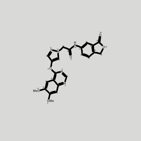 COc1cc2ncnc(Oc3cnn(CC(=O)Nc4ccc5c(c4)C(=O)OC5)c3)c2cc1OC